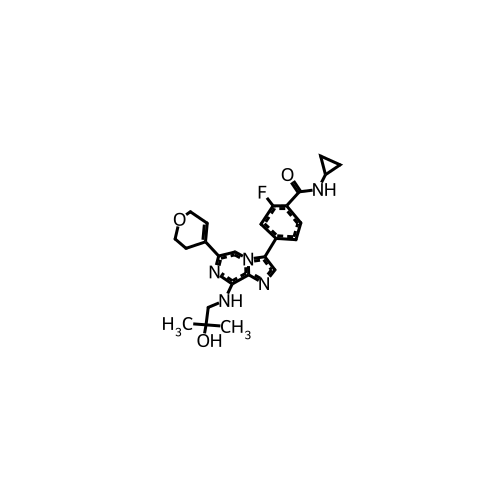 CC(C)(O)CNc1nc(C2=CCOCC2)cn2c(-c3ccc(C(=O)NC4CC4)c(F)c3)cnc12